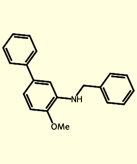 COc1ccc(-c2ccccc2)cc1NCc1ccccc1